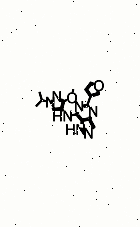 COc1nn(C(C)C)cc1Nc1nc(-c2ccoc2)nc2cn[nH]c12